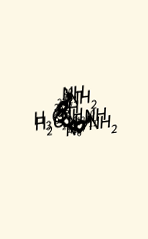 C=C(Cc1nc2ccc(C(=N)N)cc2[nH]1)Nc1cc(C(=N)N)ccc1C